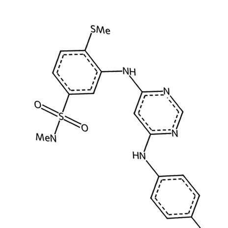 CNS(=O)(=O)c1ccc(SC)c(Nc2cc(Nc3ccc(C#N)cc3)ncn2)c1